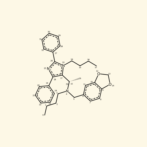 CCCCN(Cc1ccc2c(c1)OCO2)[C@@H](C)c1c(-c2ccccc2)nc(-c2ccccc2)n1CCCC